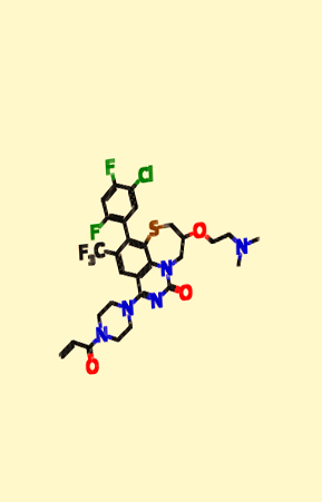 C=CC(=O)N1CCN(c2nc(=O)n3c4c(c(-c5cc(Cl)c(F)cc5F)c(C(F)(F)F)cc24)SCC(OCCN(C)C)C3)CC1